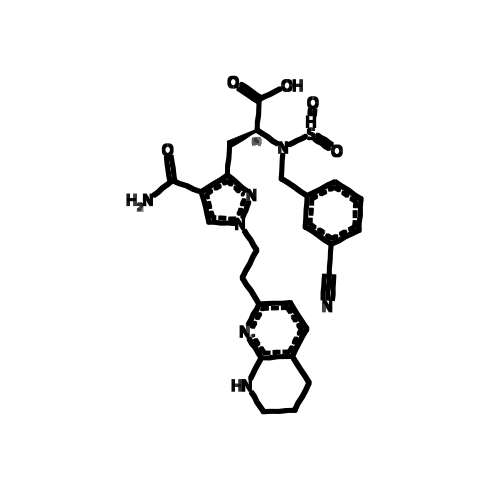 N#Cc1cccc(CN([C@@H](Cc2nn(CCc3ccc4c(n3)NCCC4)cc2C(N)=O)C(=O)O)[SH](=O)=O)c1